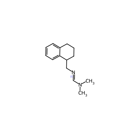 CN(C)/C=N/CC1CCCc2ccccc21